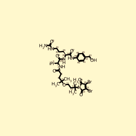 CC(C)C(NC(=O)CCC(C)(C)OCCC(C)(C)N1C(=O)C(Br)=C(Br)C1=O)C(=O)N[C@@H](CCCNC(N)=O)C(=O)Nc1ccc(CO)cc1